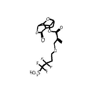 C=C(COCCC(F)(F)C(F)(F)S(=O)(=O)O)C(=O)OC1C2CC3C(=O)OC1C3O2